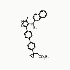 CCOC(=O)CC1(c2ccc(-c3ccc(-c4onc(C)c4N(CC)c4ccc5ccccc5c4)cc3)cc2)CC1